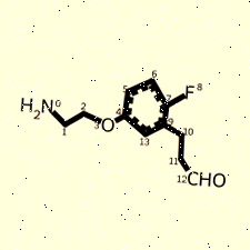 NCCOc1ccc(F)c(CCC=O)c1